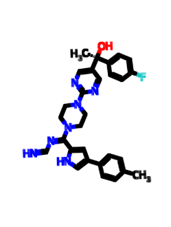 Cc1ccc(-c2c[nH]c(/C(=N\C=N)N3CCN(c4ncc([C@@](C)(O)c5ccc(F)cc5)cn4)CC3)c2)cc1